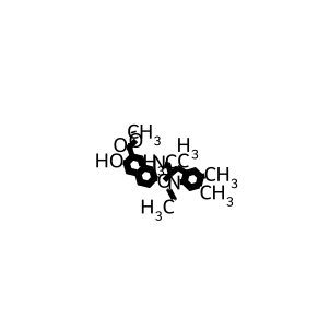 CCCN1c2cc(C)c(C)cc2C(C)(C)C12C=Nc1c(ccc3cc(O)c(C(=O)OC)cc13)O2